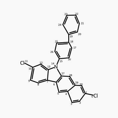 Clc1ccc2cc3c4ccc(Cl)cc4n(-c4ccc(-c5ccccc5)cc4)c3cc2c1